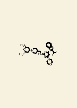 C[C@@H]1C[C@H](N2CCC(CNc3nc(N4CCOCC4)cc(-n4c(C(F)F)nc5ccccc54)n3)CC2)C[C@H](C)O1